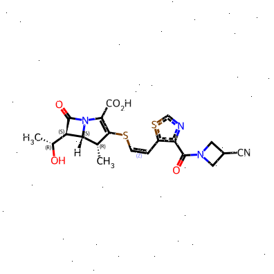 C[C@@H](O)[C@H]1C(=O)N2C(C(=O)O)=C(S/C=C\c3scnc3C(=O)N3CC(C#N)C3)[C@H](C)[C@H]12